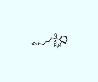 CCCCCCCCCCCCS(=O)(=O)c1ccccc1N